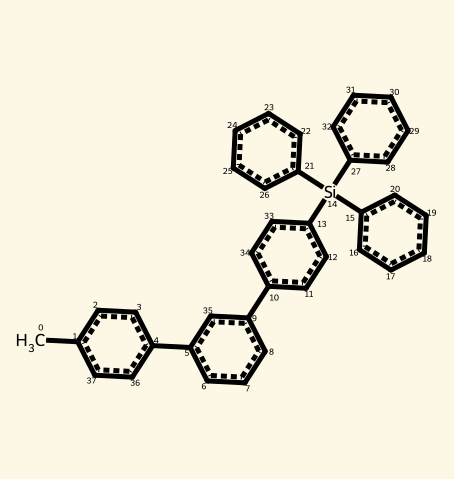 Cc1ccc(-c2cccc(-c3ccc([Si](c4ccccc4)(c4ccccc4)c4ccccc4)cc3)c2)cc1